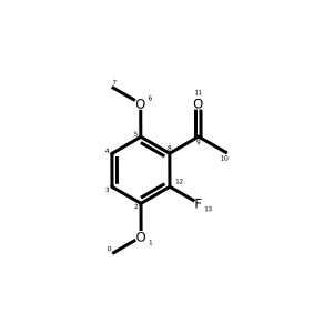 COc1ccc(OC)c(C(C)=O)c1F